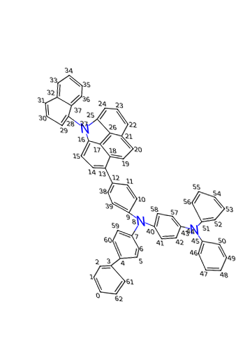 c1ccc(-c2ccc(N(c3ccc(-c4ccc5c6c4ccc4cccc(c46)n5-c4cccc5ccccc45)cc3)c3ccc(N(c4ccccc4)c4ccccc4)cc3)cc2)cc1